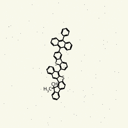 CC1(C)c2ccccc2-c2ccc3sc4c(-c5cccc6c5sc5ccc(-c7c8ccccc8c(-c8ccccc8)c8ccccc78)cc56)c5ccccc5cc4c3c21